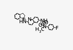 CN(c1ccc(F)cc1)S(=O)(=O)Nc1ccc2nc(N[C@@H]3CCc4ccccc43)ccc2c1